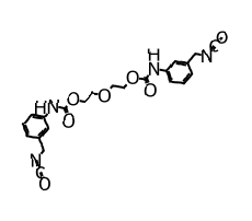 O=C=NCc1cccc(NC(=O)OCCOCCOC(=O)Nc2cccc(CN=C=O)c2)c1